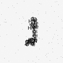 COC(=O)N[C@H](C(=O)N1CCC[C@H]1c1[nH]c(-c2ccc(-c3ccc(-c4cnc([C@H]5C6CCC(C6)[C@@H]5C(=O)N(NC(=O)OC)C(C)C)[nH]4)cc3)cc2)c2c1CCC2)C(C)C